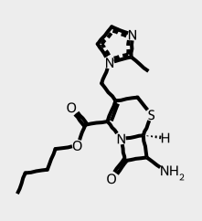 CCCCOC(=O)C1=C(Cn2ccnc2C)CS[C@H]2C(N)C(=O)N12